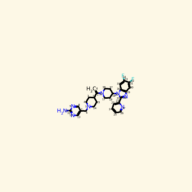 C=C(C1CCN(Cc2cnc(N)nc2)CC1)N1CCC(n2c(-c3ccccn3)nc3cc(F)c(F)cc32)CC1